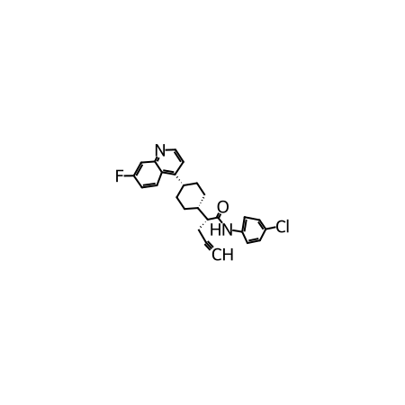 C#CC[C@@H](C(=O)Nc1ccc(Cl)cc1)[C@H]1CC[C@@H](c2ccnc3cc(F)ccc32)CC1